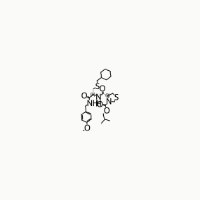 COc1ccc(CNC(=O)[C@H](CSCC2CCCCC2)NC(=O)[C@@H]2CSCN2C(=O)OCC(C)C)cc1